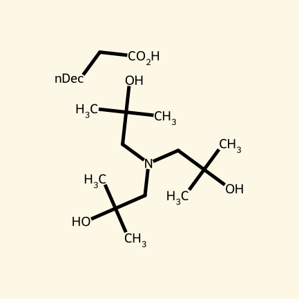 CC(C)(O)CN(CC(C)(C)O)CC(C)(C)O.CCCCCCCCCCCC(=O)O